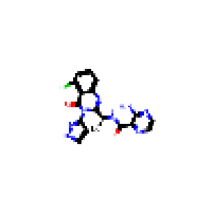 C[C@H](NC(=O)c1nccnc1N)c1nc2cccc(Cl)c2c(=O)n1-c1cc[nH]n1